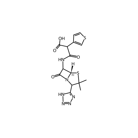 CC1(C)S[C@H]2C(NC(=O)C(C(=O)O)c3ccsc3)C(=O)N2C1c1nnn[nH]1